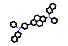 c1ccc(N(c2ccc(-c3cc4c5c(c3)CCc3cc(N(c6ccccc6)c6ccc7ccccc7c6)cc(c3-5)CC4)cc2)c2ccc3ccccc3c2)cc1